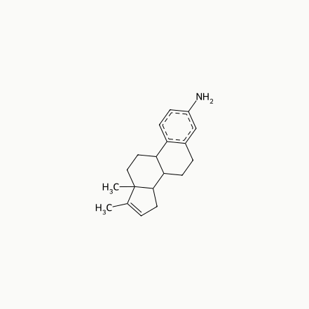 CC1=CCC2C3CCc4cc(N)ccc4C3CCC12C